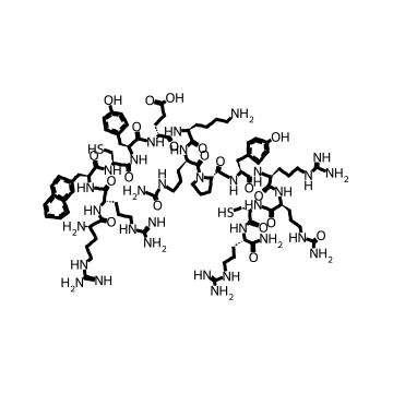 N=C(N)NCCC[C@H](NC(=O)[C@H](CS)NC(=O)[C@H](CCCNC(N)=O)NC(=O)[C@H](CCCNC(=N)N)NC(=O)[C@H](Cc1ccc(O)cc1)NC(=O)[C@@H]1CCCN1C(=O)[C@@H](CCCNC(N)=O)NC(=O)[C@H](CCCCN)NC(=O)[C@@H](CCC(=O)O)NC(=O)[C@H](Cc1ccc(O)cc1)NC(=O)[C@H](CS)NC(=O)[C@H](Cc1ccc2ccccc2c1)NC(=O)[C@H](CCCNC(=N)N)NC(=O)[C@@H](N)CCCNC(=N)N)C(N)=O